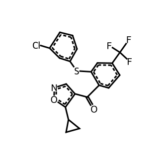 O=C(c1ccc(C(F)(F)F)cc1Sc1cccc(Cl)c1)c1cnoc1C1CC1